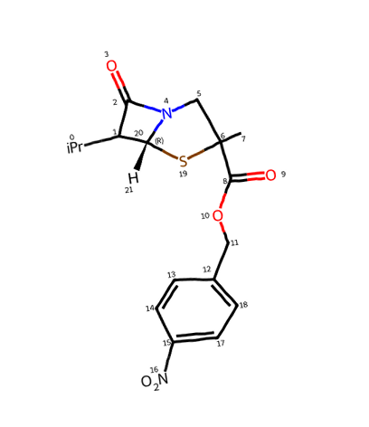 CC(C)C1C(=O)N2CC(C)(C(=O)OCc3ccc([N+](=O)[O-])cc3)S[C@H]12